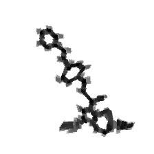 COc1ccc2c(c1)c(C(=O)CCC1CCN(CCc3ccccc3)CC1)cn2C